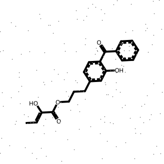 CC=C(O)C(=O)OCCCc1ccc(C(=O)c2ccccc2)c(O)c1